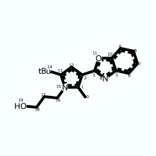 Cc1c(-c2nc3ccccc3o2)cc(C(C)(C)C)n1CCCO